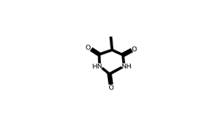 CC1C(=O)NC(=O)NC1=O